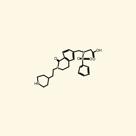 O=C(O)CN(Cc1ccc2c(c1)CCN(CCC1CCNCC1)C2=O)S(=O)(=O)c1ccccc1